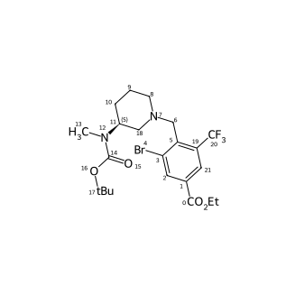 CCOC(=O)c1cc(Br)c(CN2CCC[C@H](N(C)C(=O)OC(C)(C)C)C2)c(C(F)(F)F)c1